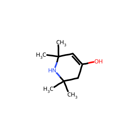 CC1(C)C=C(O)CC(C)(C)N1